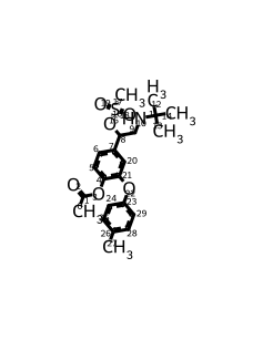 CC(=O)Oc1ccc(C(CNC(C)(C)C)OS(C)(=O)=O)cc1Oc1ccc(C)cc1